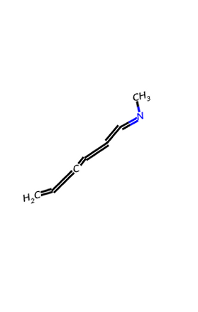 C=C=C=C=C=C=NC